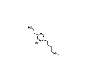 NCCCCc1cc[n+](CCS)cc1.[Br-]